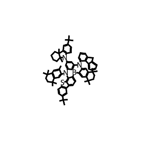 Cc1cc2c(cc1N1c3cc(N4c5ccc(C(C)(C)C)cc5C5(C)CCCCC45C)cc4c3B(c3cc5c(cc3N4c3cccc4c3-c3ccccc3C4)C(C)(C)CCC5(C)C)c3ccc4c(sc5ccc(C(C)(C)C)cc54)c31)C(C)(C)CCC2(C)C